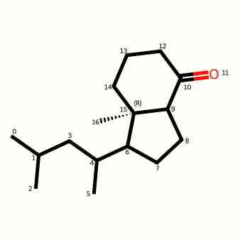 CC(C)CC(C)C1CCC2C(=O)CCC[C@@]21C